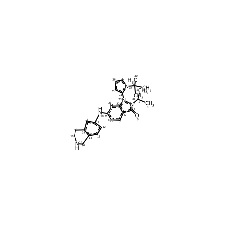 CC(C)n1c(=O)c2cnc(Nc3ccc4c(c3)CCNC4)nc2n1-c1cccn1C(C)(C)C